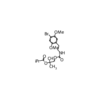 COc1cc(CCNC(=O)OCC(C)(C)OC(=O)C(C)C)c(OC)cc1Br